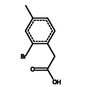 Cc1ccc(CC(=O)O)c(Br)c1